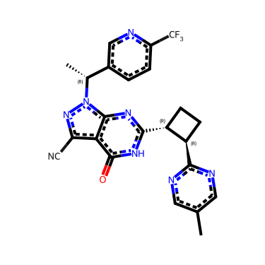 Cc1cnc([C@@H]2CC[C@H]2c2nc3c(c(C#N)nn3[C@H](C)c3ccc(C(F)(F)F)nc3)c(=O)[nH]2)nc1